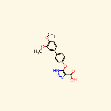 COc1ccc(-c2ccc(Oc3[nH]nnc3C(=O)O)cc2)cc1OC